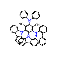 N#Cc1c(NC2=C(c3ccccc3)CCC=C2)c(-n2c3ccccc3c3ccccc32)c(-n2c3ccccc3c3ccccc32)c(C#N)c1-n1c2ccccc2c2ccccc21